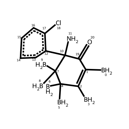 BC1=C(B)C(B)(B)C(B)(B)C(N)(c2ccccc2Cl)C1=O